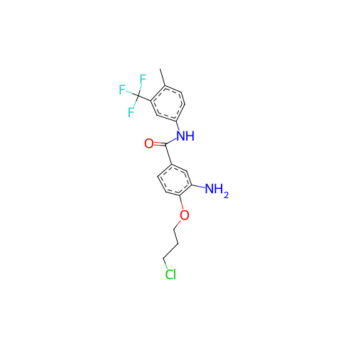 Cc1ccc(NC(=O)c2ccc(OCCCCl)c(N)c2)cc1C(F)(F)F